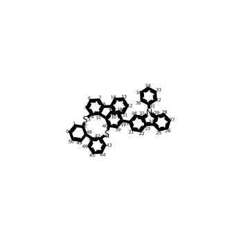 C1=CC2Sc3cccc(-c4ccccc4)c3-c3ccc(-c4ccc5c6ccccc6n(-c6ccccc6)c5c4)cc3Sc3ccccc3C2C=C1